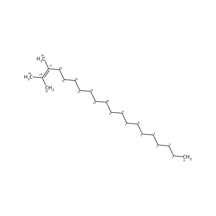 CCCCCCCCCCCCCCCCCC(C)=C(C)C